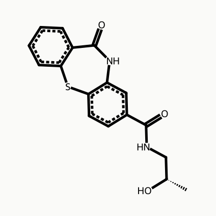 C[C@H](O)CNC(=O)c1ccc2c(c1)NC(=O)c1ccccc1S2